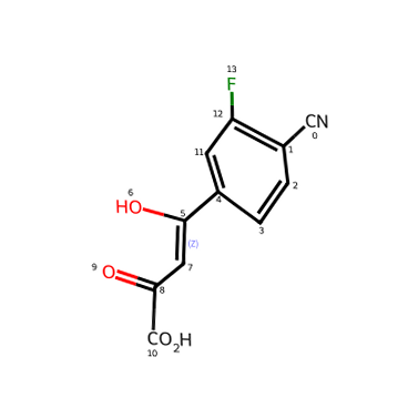 N#Cc1ccc(/C(O)=C/C(=O)C(=O)O)cc1F